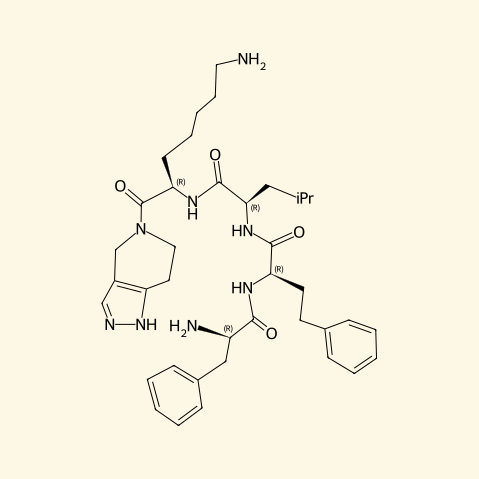 CC(C)C[C@@H](NC(=O)[C@@H](CCc1ccccc1)NC(=O)[C@H](N)Cc1ccccc1)C(=O)N[C@H](CCCCCN)C(=O)N1CCc2[nH]ncc2C1